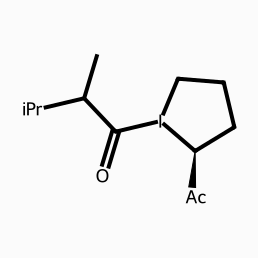 CC(=O)[C@@H]1CCCI1C(=O)C(C)C(C)C